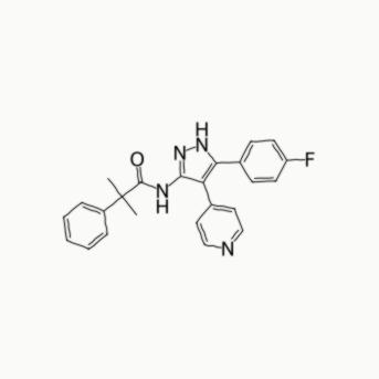 CC(C)(C(=O)Nc1n[nH]c(-c2ccc(F)cc2)c1-c1ccncc1)c1ccccc1